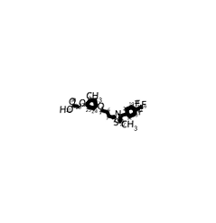 Cc1cc(OCCCc2nc(-c3ccc(C(F)(F)F)cc3)c(C)s2)ccc1OCC(=O)O